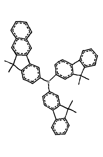 CC1(C)c2ccccc2-c2ccc(N(c3ccc4c(c3)-c3cc5ccccc5cc3C4(C)C)c3ccc4c(c3)C(C)(C)c3ccccc3-4)cc21